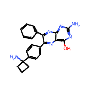 Nc1nc(O)c2nc(-c3ccc(C4(N)CCC4)cc3)c(-c3ccccc3)nc2n1